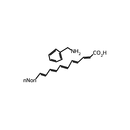 CCCCCCCCCC=CC=CC=CC=CC=CC(=O)O.NCc1ccccc1